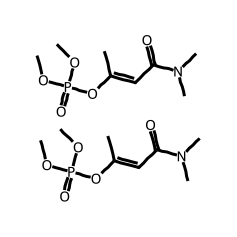 COP(=O)(OC)O/C(C)=C/C(=O)N(C)C.COP(=O)(OC)O/C(C)=C/C(=O)N(C)C